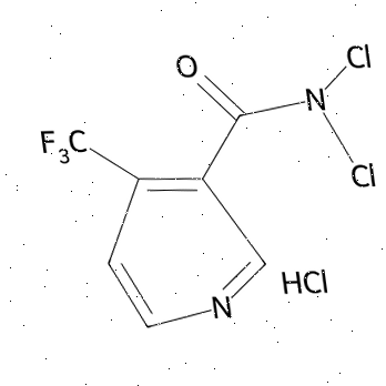 Cl.O=C(c1cnccc1C(F)(F)F)N(Cl)Cl